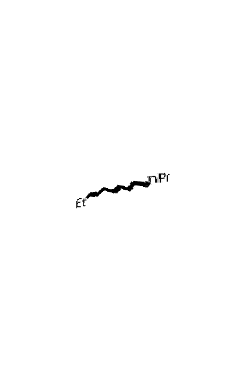 [CH2]CCC=CCC=CCC=CCC